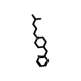 CC(C)CCCN1CCC(Cc2ncccn2)CC1